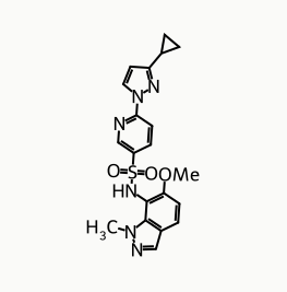 COc1ccc2cnn(C)c2c1NS(=O)(=O)c1ccc(-n2ccc(C3CC3)n2)nc1